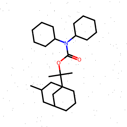 CC1CC2CCCC(C(C)(C)OC(=O)N(C3CCCCC3)C3CCCCC3)(C1)C2